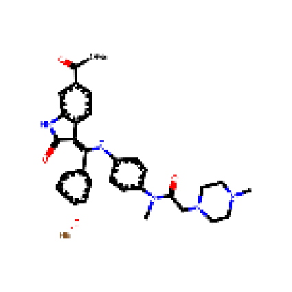 Br.COC(=O)c1ccc2c(c1)NC(=O)C2=C(Nc1ccc(N(C)C(=O)CN2CCN(C)CC2)cc1)c1ccccc1.O